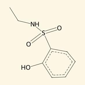 CCNS(=O)(=O)c1ccccc1O